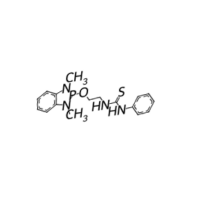 CN1c2ccccc2N(C)P1OCCNC(=S)Nc1ccccc1